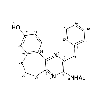 CC(=O)Nc1nc2c(nc1Cc1ccccc1)-c1ccc(O)cc1CCC2